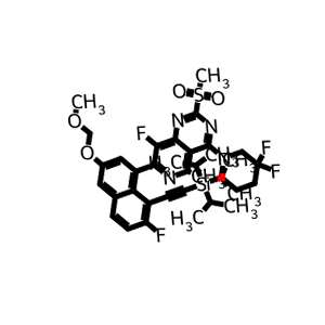 COCOc1cc(-c2nc(C)c3c(N4CCCC(F)(F)C4)nc(S(C)(=O)=O)nc3c2F)c2c(C#C[Si](C(C)C)(C(C)C)C(C)C)c(F)ccc2c1